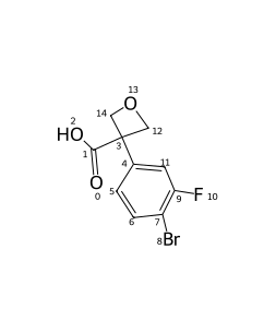 O=C(O)C1(c2ccc(Br)c(F)c2)COC1